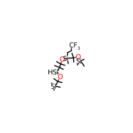 C[SiH](OC(C)(C)[Si](C)(C)C)C(C)(C)C(C)(C)O[Si](C)(CCC(F)(F)F)C(C)(C)O[Si](C)(C)C